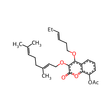 CCC=CCCOc1c(OC/C=C(\C)CCC=C(C)C)c(=O)oc2c(OC(C)=O)cccc12